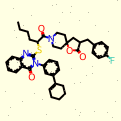 CCCCC(Sc1nc2ccccc2c(=O)n1-c1cccc(C2=CCCCC2)c1)C(=O)N1CCC2(CC1)CC(Cc1ccc(F)cc1)C(=O)O2